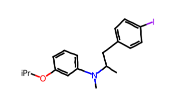 CC(C)Oc1cccc(N(C)C(C)Cc2ccc(I)cc2)c1